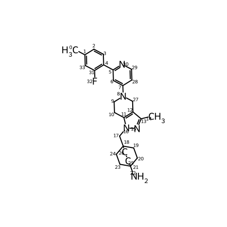 Cc1ccc(-c2cc(N3CCc4c(c(C)nn4CC45CCC(N)(CC4)CC5)C3)ccn2)c(F)c1